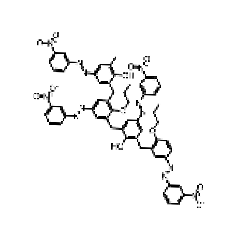 CCCOc1ccc(N=Nc2cccc([N+](=O)[O-])c2)cc1Cc1cc(N=Nc2cccc([N+](=O)[O-])c2)cc(Cc2cc(N=Nc3cccc([N+](=O)[O-])c3)cc(Cc3cc(N=Nc4cccc([N+](=O)[O-])c4)cc(C)c3O)c2OCCC)c1O